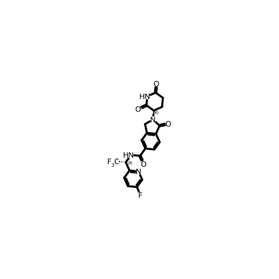 O=C1CC[C@@H](N2Cc3cc(C(=O)N[C@H](c4ccc(F)cn4)C(F)(F)F)ccc3C2=O)C(=O)N1